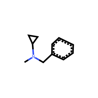 CN(Cc1ccccc1)[C]1CC1